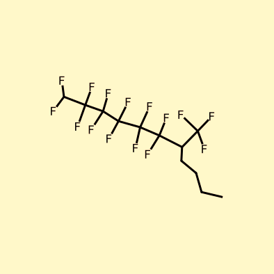 CCCCC(C(F)(F)F)C(F)(F)C(F)(F)C(F)(F)C(F)(F)C(F)(F)C(F)F